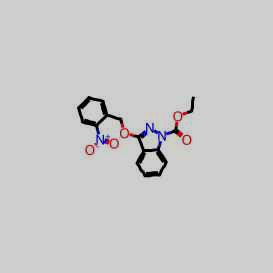 CCOC(=O)n1nc(OCc2ccccc2[N+](=O)[O-])c2ccccc21